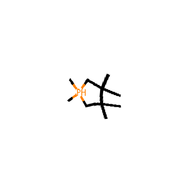 CC1(C)C[PH](C)(C)CC1(C)C